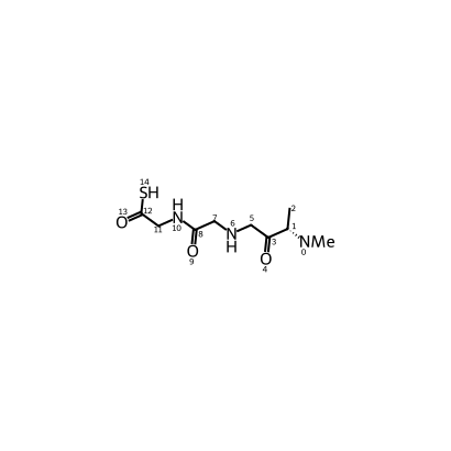 CN[C@@H](C)C(=O)CNCC(=O)NCC(=O)S